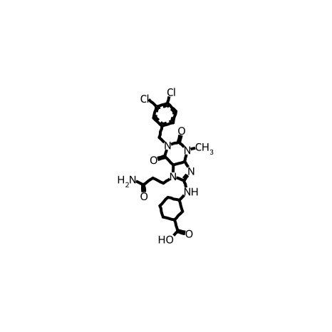 CN1C(=O)N(Cc2ccc(Cl)c(Cl)c2)C(=O)C2C1N=C(NC1CCCC(C(=O)O)C1)N2CCC(N)=O